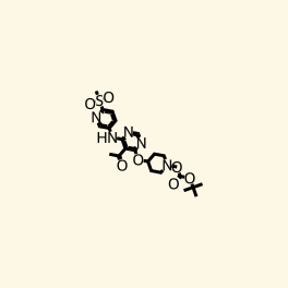 CC(=O)c1c(Nc2ccc(S(C)(=O)=O)nc2)ncnc1OC1CCN(OC(=O)OC(C)(C)C)CC1